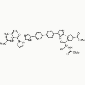 C=C(C)[C@H](NC(=O)OC)C(=O)N1CC=C[C@H]1c1ncc(-c2ccc(-c3ccc(-c4cnc([C@@H]5CN(C(=O)OC)CN5C(=O)[C@@H](NC(=O)OC)C(C)C)[nH]4)cc3)cc2)[nH]1